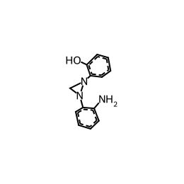 Nc1ccccc1N1CN1c1ccccc1O